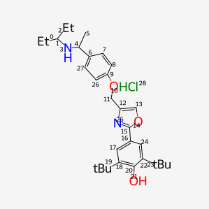 CCC(CC)NC(C)c1ccc(OCc2coc(-c3cc(C(C)(C)C)c(O)c(C(C)(C)C)c3)n2)cc1.Cl